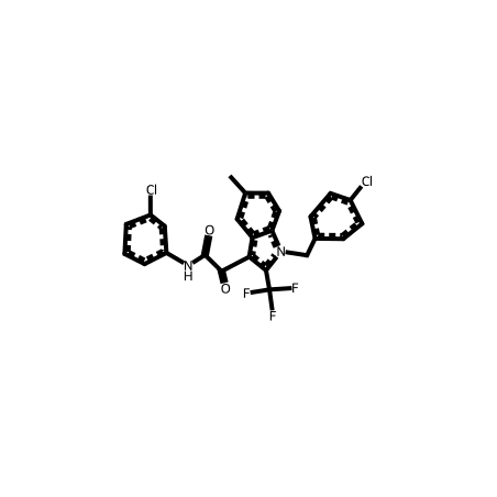 Cc1ccc2c(c1)c(C(=O)C(=O)Nc1cccc(Cl)c1)c(C(F)(F)F)n2Cc1ccc(Cl)cc1